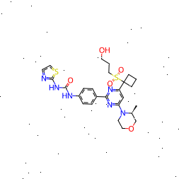 C[C@H]1COCCN1c1cc(C2(S(=O)(=O)CCCO)CCC2)nc(-c2ccc(NC(=O)Nc3nccs3)cc2)n1